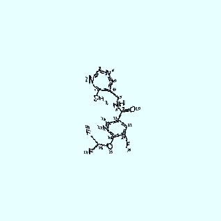 Cc1ncncc1CNC(=O)c1cnc(OC(F)F)c(F)c1